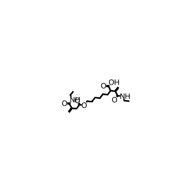 C=C(CC(=O)OCCCCCCC(C(=C)C(=O)NCC)C(=O)O)C(=O)NCC